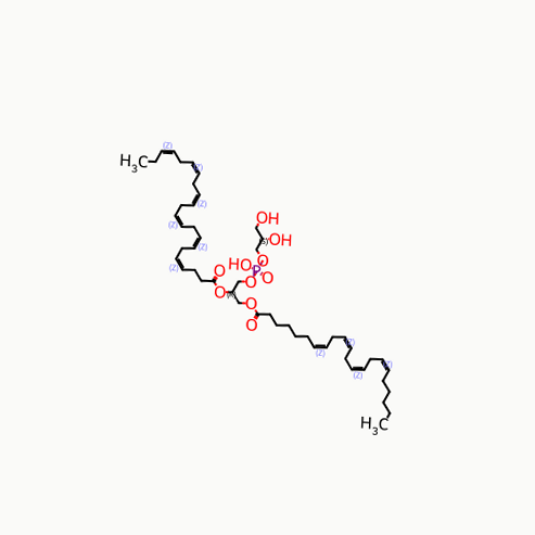 CC/C=C\C/C=C\C/C=C\C/C=C\C/C=C\C/C=C\CCC(=O)O[C@H](COC(=O)CCCCC/C=C\C/C=C\C/C=C\C/C=C\CCCCC)COP(=O)(O)OC[C@@H](O)CO